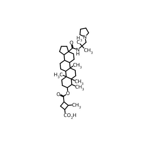 CC1C(C(=O)O)CC1C(=O)OC1CCC2(C)C3CCC4C5CCCC5(C(=O)NC(C)(C)CN5CCCC5)CCC4C3(C)CCC2(C)C1C